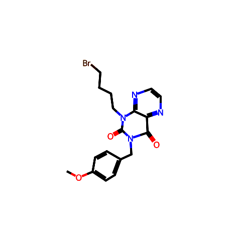 COc1ccc(Cn2c(=O)c3nccnc3n(CCCCBr)c2=O)cc1